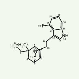 CCC1(C)CC2C=CC1N(CCc1c[nH]c3cccc(F)c13)C2